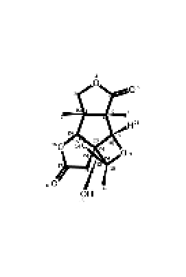 C[C@@]12COC(=O)[C@]1(C)[C@@H]1O[C@]3(C)[C@@H](O)C[C@]24OC(=O)C[C@]143